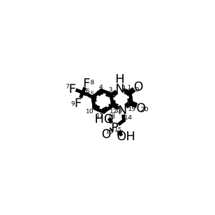 O=c1[nH]c2cc(C(F)(F)F)ccc2n(CP(=O)(O)O)c1=O